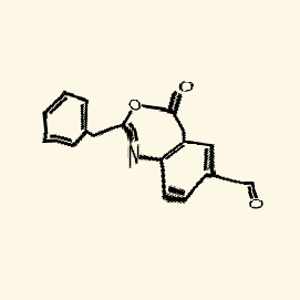 O=Cc1ccc2nc(-c3ccccc3)oc(=O)c2c1